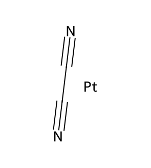 N#CC#N.[Pt]